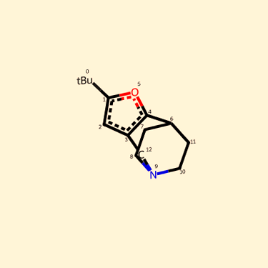 CC(C)(C)c1cc2c(o1)C1CCN(CC1)C2